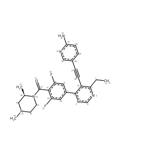 CCc1ncnc(-c2cc(F)c(C(=O)N3CCN(C)C[C@H]3C)c(F)c2)c1C#Cc1ccc(N)nc1